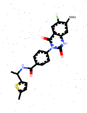 CNc1cc2[nH]c(=O)n(-c3ccc(C(=O)NC(C)c4ccc(C)s4)cc3)c(=O)c2cc1F